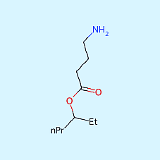 CCCC(CC)OC(=O)CCCN